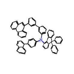 c1ccc(C2(c3ccccc3)c3ccccc3-c3c(N(c4ccc(-c5cccc6ccccc56)cc4)c4cccc(-c5cccc(-c6cc7ccccc7c7ccccc67)c5)c4)cccc32)cc1